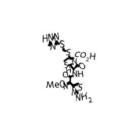 CO/N=C(\C(=O)N[C@@H]1C(=O)N2C(C(=O)O)=C(SCSc3nc[nH]n3)CS[C@H]12)c1csc(N)n1